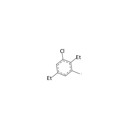 [CH2]c1cc(CC)cc(Cl)c1CC